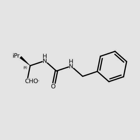 CC(C)[C@H]([C]=O)NC(=O)NCc1ccccc1